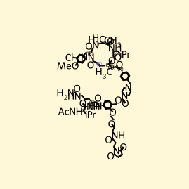 COc1ccc(C[C@H]2NC(=O)/C=C/C[C@@H]([C@H](C)[C@H]3O[C@@H]3c3ccc(CN4CCN(C(=O)OCc5ccc(NC(=O)[C@H](CCCNC(N)=O)NC(=O)[C@@H](NC(C)=O)C(C)C)cc5OCCOCCNC(=O)CCN5C(=O)C=CC5=O)CC4)cc3)OC(=O)[C@H](CC(C)C)NC(=O)C(C)(C)CNC2=O)cc1Cl